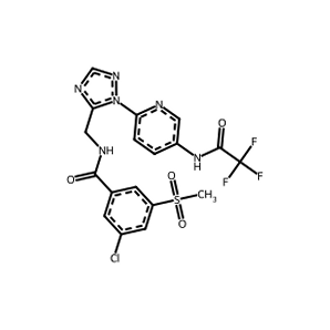 CS(=O)(=O)c1cc(Cl)cc(C(=O)NCc2ncnn2-c2ccc(NC(=O)C(F)(F)F)cn2)c1